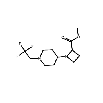 COC(=O)C1CCN1C1CCN(CC(F)(F)F)CC1